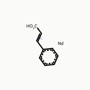 O=C(O)/C=C/c1ccccc1.[Nd]